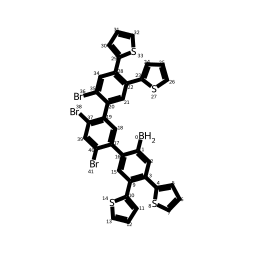 Bc1cc(-c2cccs2)c(-c2cccs2)cc1-c1cc(-c2cc(-c3cccs3)c(-c3cccs3)cc2Br)c(Br)cc1Br